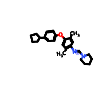 Cc1cc(Oc2ccc(C3CCCC3)cc2)c(C)cc1/N=C/N1CCCCC1